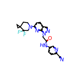 N#Cc1ccc(NC(=O)Cn2ncc3ccc(N4CCC5(CC5)C(F)(F)C4)nc32)cn1